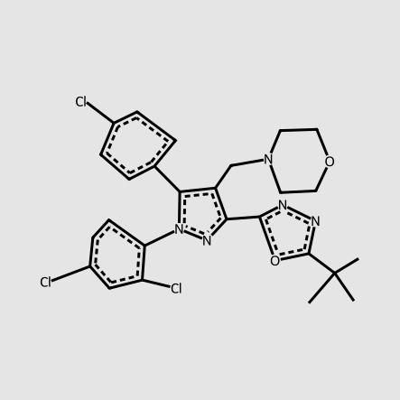 CC(C)(C)c1nnc(-c2nn(-c3ccc(Cl)cc3Cl)c(-c3ccc(Cl)cc3)c2CN2CCOCC2)o1